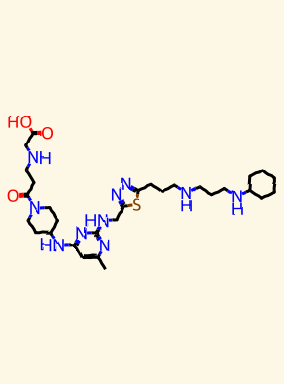 Cc1cc(NC2CCN(C(=O)CCNCC(=O)O)CC2)nc(NCc2nnc(CCCNCCCNC3CCCCC3)s2)n1